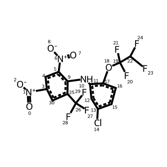 O=[N+]([O-])c1cc([N+](=O)[O-])c(Nc2cc(Cl)ccc2OC(F)(F)C(F)F)c(C(F)(F)F)c1